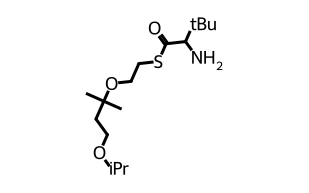 CC(C)OCCC(C)(C)OCCSC(=O)C(N)C(C)(C)C